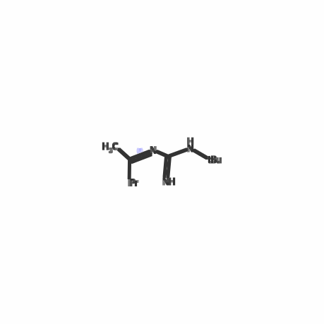 C/C(=N/C(=N)NC(C)(C)C)C(C)C